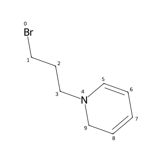 BrCCCN1C=CC=CC1